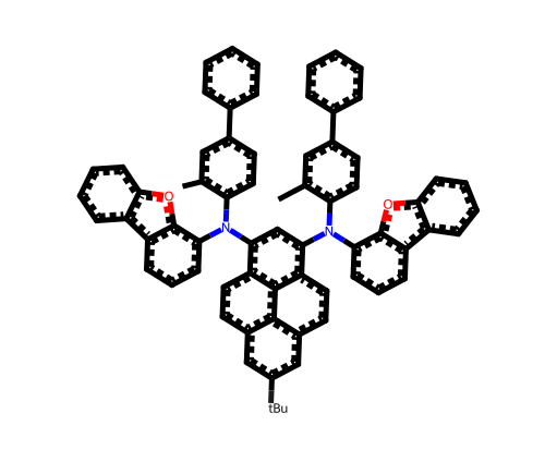 Cc1cc(-c2ccccc2)ccc1N(c1cc(N(c2ccc(-c3ccccc3)cc2C)c2cccc3c2oc2ccccc23)c2ccc3cc(C(C)(C)C)cc4ccc1c2c43)c1cccc2c1oc1ccccc12